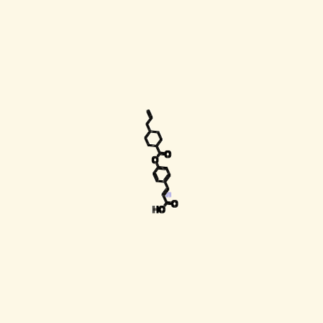 C=CCC1CCC(C(=O)Oc2ccc(/C=C/C(=O)O)cc2)CC1